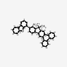 CC1(C)c2cc(-c3cccc4c3oc3ccccc34)ccc2-c2cc3c4ccccc4c4ccccc4c3cc21